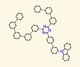 c1ccc(-c2cccc(-c3cccc(-c4cccc(-c5cccc(-c6nc(-c7ccc(-c8cccc(-n9c%10ccccc%10c%10ccccc%109)c8)cc7)nc(-c7cccc(-c8cccc(-c9ccccc9)c8)c7)n6)c5)c4)c3)c2)cc1